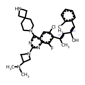 C/C(=C\C(O)=C/c1ccccc1C)c1c(Cl)cc2c(N3CCC4(CC3)CNC4)nc(N3CC(N(C)C)C3)nc2c1F